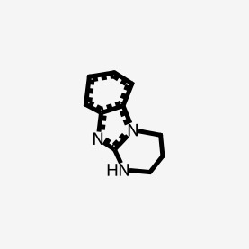 c1ccc2c(c1)nc1n2CCCN1